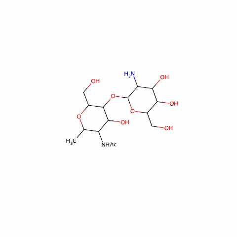 CC(=O)NC1C(C)OC(CO)C(OC2OC(CO)C(O)C(O)C2N)C1O